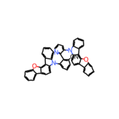 N#Cc1cccc(-n2c3ccccc3c3c4oc5ccccc5c4ccc32)c1-c1ncccc1-n1c2ccccc2c2c3oc4ccccc4c3ccc21